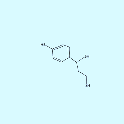 SCCC(S)c1ccc(S)cc1